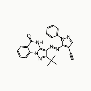 C#Cc1cnn(-c2ccccc2)c1/N=N/c1c(C(C)(C)C)nn2c1[nH]c(=O)c1ccccc12